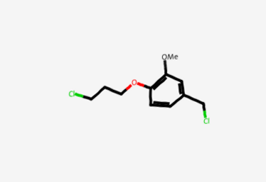 COc1cc(CCl)ccc1OCCCCl